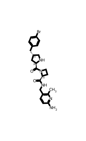 Cc1nc(N)ccc1CNC(=O)[C@@H]1CCN1C(=O)[C@H]1C[C@H](Cc2ccc(Br)cc2)CN1